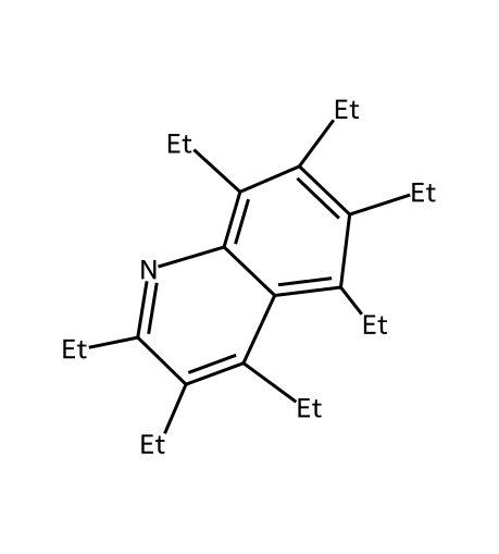 CCc1nc2c(CC)c(CC)c(CC)c(CC)c2c(CC)c1CC